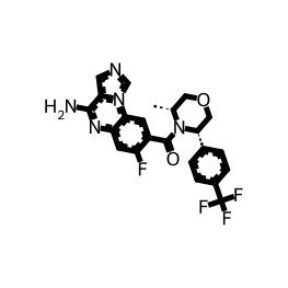 C[C@@H]1COC[C@H](c2ccc(C(F)(F)F)cc2)N1C(=O)c1cc2c(cc1F)nc(N)c1cncn12